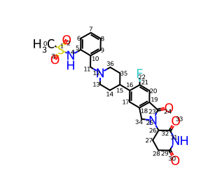 CS(=O)(=O)Nc1ccccc1CN1CCC(c2cc3c(cc2F)C(=O)N(C2CCC(=O)NC2=O)C3)CC1